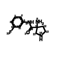 NC1(C(=O)Nc2cccc(F)c2)CCNC1